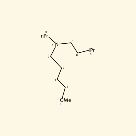 CCCN(CCCCOC)CCC(C)C